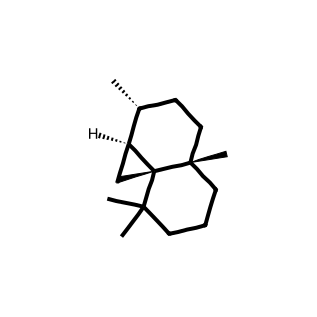 C[C@@H]1CC[C@]2(C)CCCC(C)(C)[C@@]23C[C@@H]13